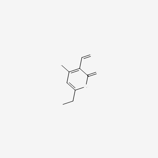 CCc1cc(Cl)c(C=O)c(=O)[nH]1